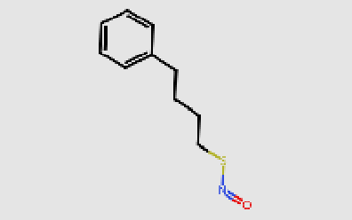 O=NSCCCCc1ccccc1